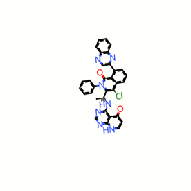 C[C@H](Nc1ncnc2[nH]ccc(=O)c12)c1c(Cl)c2cccc(-c3cnc4ccccc4n3)c2c(=O)n1-c1ccccc1